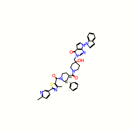 Cc1ccc(-c2nc(C)c(C(=O)N3CC[C@@H](C(=O)N4CCC(O)(Cn5cnc6c(ccn6-n6ccc7ccccc76)c5=O)CC4)[C@H](c4ccccc4)C3)s2)cn1